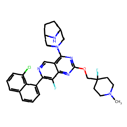 CN1CCC(F)(COc2nc(N3CC4CCC(C3)N4)c3cnc(-c4cccc5cccc(Cl)c45)c(F)c3n2)CC1